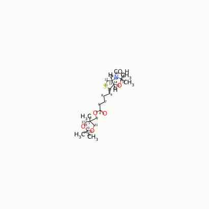 CC1(COC(=O)CCCC=C2SC[C@H]3[C@@H]2OC(C)(C)N3C(=O)O)COC(C)(C)OC1